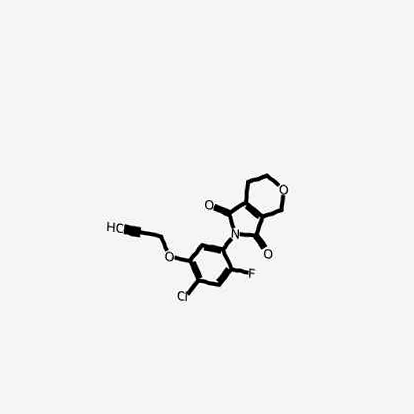 C#CCOc1cc(N2C(=O)C3=C(COCC3)C2=O)c(F)cc1Cl